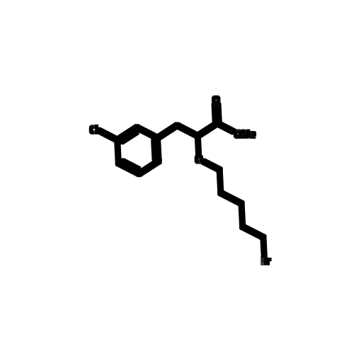 COC(=O)C(Cc1cccc(Cl)c1)OCCCCCBr